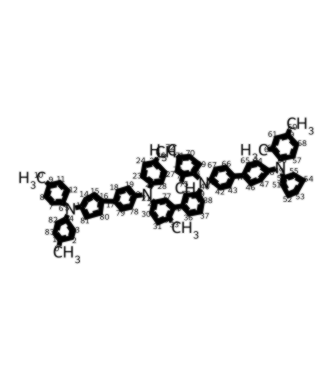 Cc1ccc(N(c2ccc(C)cc2)c2ccc(-c3ccc(N(c4ccc(C)cc4)c4ccc(C)c(-c5cccc(N(c6ccc(-c7ccc(N(c8ccccc8)c8ccc(C)cc8C)cc7)cc6)c6ccc(C)cc6C)c5)c4)cc3)cc2)cc1